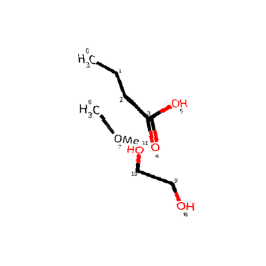 CCCC(=O)O.COC.OCCO